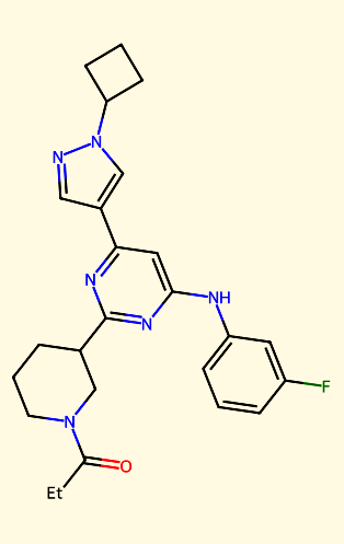 CCC(=O)N1CCCC(c2nc(Nc3cccc(F)c3)cc(-c3cnn(C4CCC4)c3)n2)C1